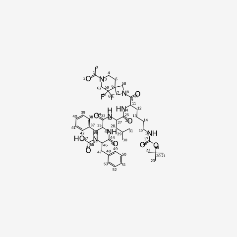 CC(=O)N1CCC2(CN(C(=O)C(CCCCNC(=O)OC(C)(C)C)NC(=O)C(CC(C)C)NC(=O)C(Cc3ccccc3)NC(=O)C(Cc3ccccc3)NC(=O)O)C2)C(F)(F)C1